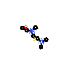 c1ccc(-c2nc(-c3ccccc3)nc(-c3ccc4c(c3)sc3ccc(-c5nc(-c6ccccc6)nc(-c6ccc7c(c6)oc6ccccc67)n5)cc34)n2)cc1